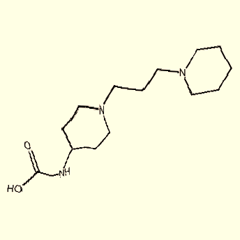 O=C(O)NC1CCN(CCCN2CCCCC2)CC1